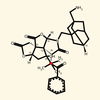 CC(C)(C)[C@]1(O)C[C@@H]2OC(=O)C[C@@]23C(=O)O[C@@H]2N(CC45CC6C[C@@H](CC(CN)(C6)C4)C5)C(=O)[C@H](OC(=O)c4ccccc4)[C@]213